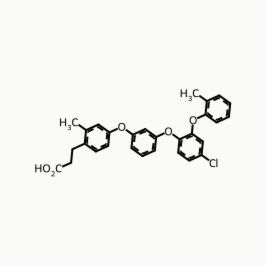 Cc1cc(Oc2cccc(Oc3ccc(Cl)cc3Oc3ccccc3C)c2)ccc1CCC(=O)O